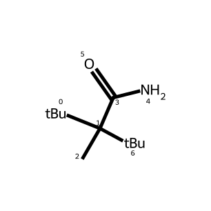 CC(C)(C)C(C)(C(N)=O)C(C)(C)C